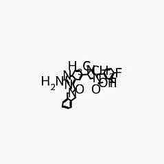 CN(C)C(CN(Cc1ccc(F)c(F)c1)C(=O)O)c1ccc2nc(N)nc(C(=O)N3Cc4ccccc4C3)c2c1